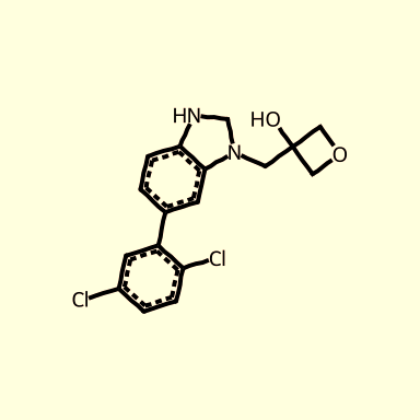 OC1(CN2CNc3ccc(-c4cc(Cl)ccc4Cl)cc32)COC1